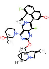 C#Cc1c(F)ccc2cc(O)cc(-c3ncc4c(N5CCC[C@@](C)(O)C5)nc(OC[C@@]56CC(=C)CN5C[C@H]5C[C@H]56)nc4c3F)c12